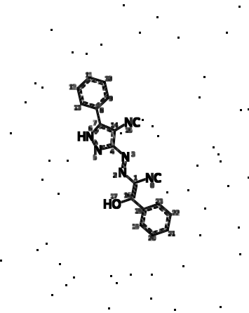 [C-]#[N+]C(/N=N/c1n[nH]c(-c2ccccc2)c1[N+]#[C-])=C(/O)c1ccccc1